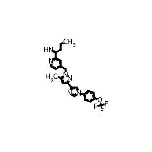 CCCC(=N)c1cc(Cn2nc(-c3cn(-c4ccc(OC(F)(F)F)cc4)cn3)cc2C)ccn1